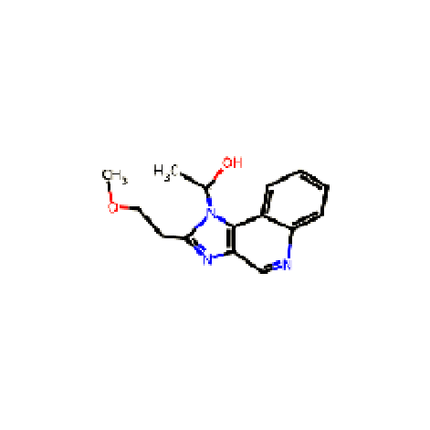 COCCc1nc2cnc3ccccc3c2n1[C](C)O